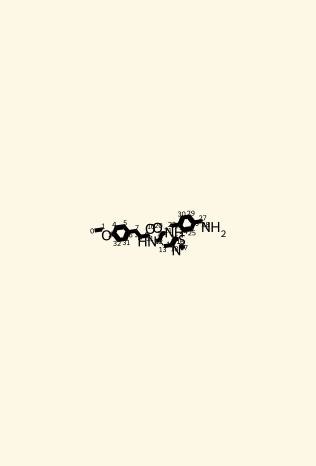 CCOc1ccc(C[CH]C(=O)N[C@@H](Cc2cscn2)C(=O)NCc2ccc(CN)cc2)cc1